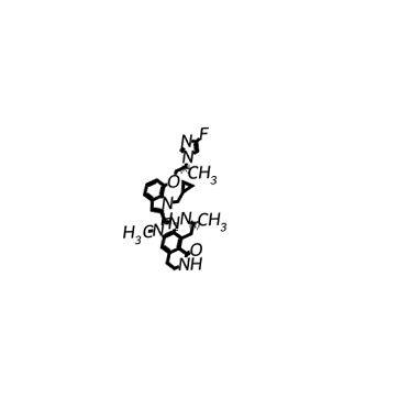 C[C@H](COc1cccc2cc(-c3nc4c(C[C@@H](C)N)c5c(cc4n3C)CCNC5=O)n(CC3CC3)c12)n1cnc(F)c1